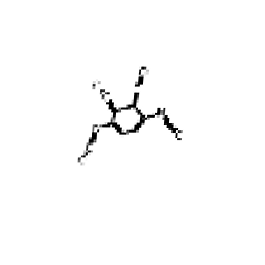 O=C=Nc1ccc(N=C=O)c(=C=O)c1=C=O